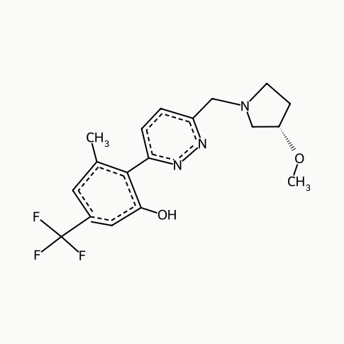 CO[C@H]1CCN(Cc2ccc(-c3c(C)cc(C(F)(F)F)cc3O)nn2)C1